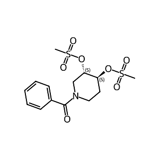 CS(=O)(=O)O[C@H]1CCN(C(=O)c2ccccc2)C[C@@H]1OS(C)(=O)=O